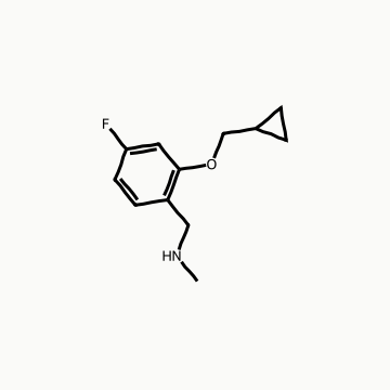 CNCc1ccc(F)cc1OCC1CC1